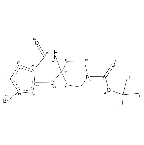 CC(C)(C)OC(=O)N1CCC2(CC1)NC(=O)c1ccc(Br)cc1O2